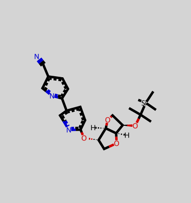 CC(C)(O[C@@H]1CO[C@H]2[C@@H]1OC[C@@H]2Oc1ccc(-c2ccc(C#N)cn2)cn1)[Si](C)(C)C